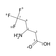 NC(CC(=O)O)CC(F)(F)F